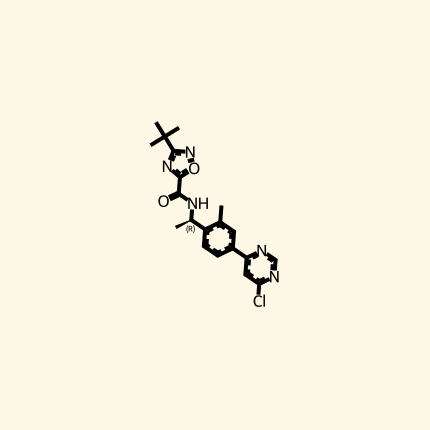 Cc1cc(-c2cc(Cl)ncn2)ccc1[C@@H](C)NC(=O)c1nc(C(C)(C)C)no1